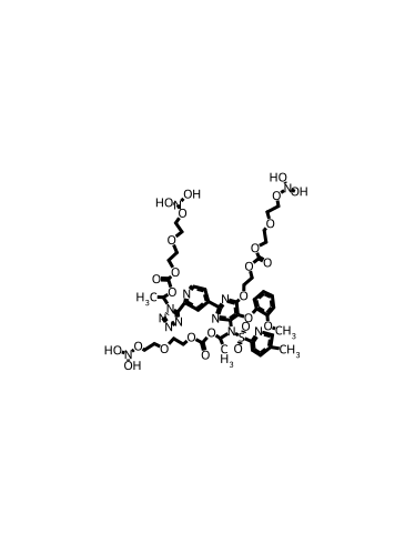 COc1ccccc1Oc1c(OCCOC(=O)OCCOCCON(O)O)nc(-c2ccnc(-c3nnnn3C(C)OC(=O)OCCOCCON(O)O)c2)nc1N(C(C)OC(=O)OCCOCCON(O)O)S(=O)(=O)c1ccc(C)cn1